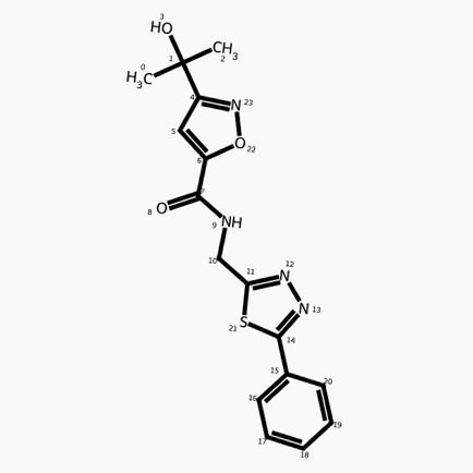 CC(C)(O)c1cc(C(=O)NCc2nnc(-c3ccccc3)s2)on1